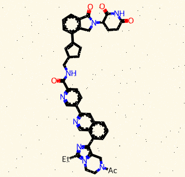 CCc1nc(-c2cccc3cc(-c4ccc(C(=O)NCC5C=C(c6cccc7c6CN(C6CCC(=O)NC6=O)C7=O)CC5)nc4)ncc23)c2n1CCN(C(C)=O)C2